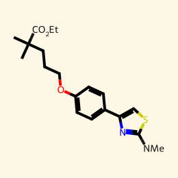 CCOC(=O)C(C)(C)CCCOc1ccc(-c2csc(NC)n2)cc1